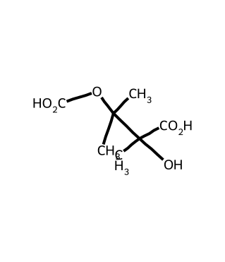 CC(C)(OC(=O)O)C(C)(O)C(=O)O